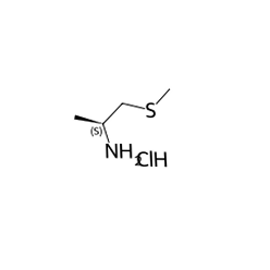 CSC[C@H](C)N.Cl